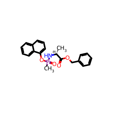 C[C@@H](NP(C)(=O)Oc1cccc2ccccc12)C(=O)OCc1ccccc1